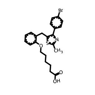 Cc1nc(-c2ccc(Br)cc2)c(Cc2ccccc2OCCCCCC(=O)O)s1